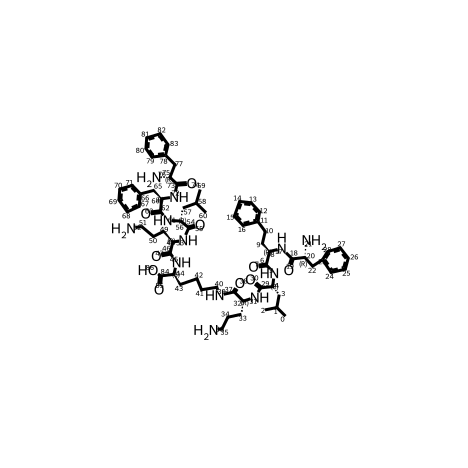 CC(C)C[C@@H](NC(=O)[C@@H](CCc1ccccc1)NC(=O)[C@H](N)Cc1ccccc1)C(=O)N[C@H](CCCN)C(=O)NCCCC[C@H](NC(=O)[C@@H](CCCN)NC(=O)[C@@H](CC(C)C)NC(=O)[C@@H](Cc1ccccc1)NC(=O)[C@H](N)Cc1ccccc1)C(=O)O